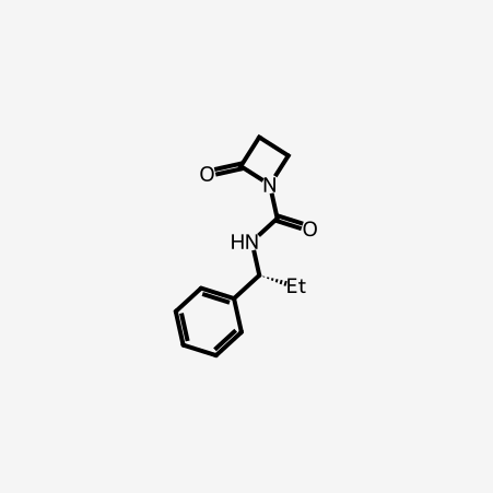 CC[C@@H](NC(=O)N1CCC1=O)c1ccccc1